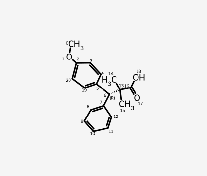 COc1ccc([C@@H](c2ccccc2)C(C)(C)C(=O)O)cc1